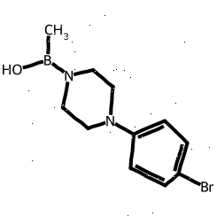 CB(O)N1CCN(c2ccc(Br)cc2)CC1